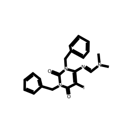 CN(C)C=Nc1c(I)c(=O)n(Cc2ccccc2)c(=O)n1Cc1ccccc1